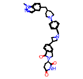 Cn1ncc2cc(CC3CCN(c4ccc(CN5CC(c6ccc7c(c6)CN(C6CCC(=O)NC6=O)C7=O)C5)cc4)CC3)ccc21